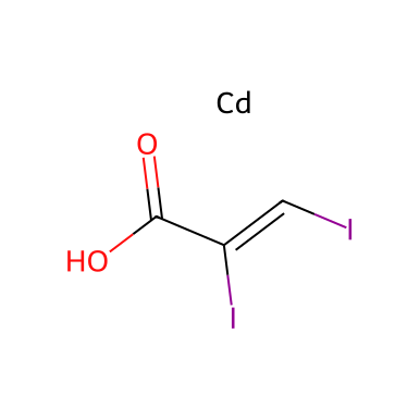 O=C(O)C(I)=CI.[Cd]